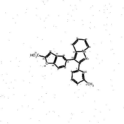 Cc1cccc(-c2nn3ccccc3c2-c2ccc3oc(C(=O)O)cc3c2)n1